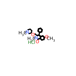 COc1ccc2c(=O)n(C)c(COC3CCCN(C)C3)c(-c3ccccc3)c2c1.Cl